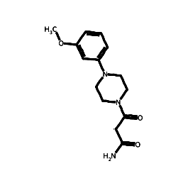 COc1cccc(N2CCN(C(=O)[CH]C(N)=O)CC2)c1